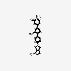 CN1CCC2CN(c3ccc(-c4ccc(-c5ccn(C)c(=O)c5)cc4O)nn3)CC21